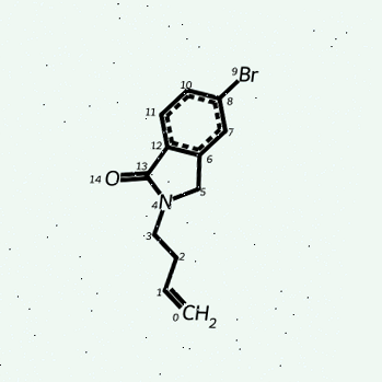 C=CCCN1Cc2cc(Br)ccc2C1=O